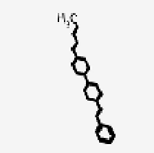 CCCCCC1CCC(C2CCC(CCc3ccccc3)CC2)CC1